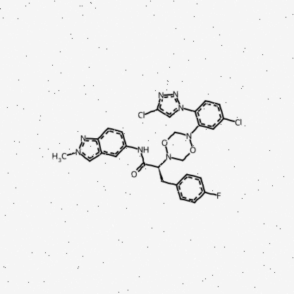 Cn1cc2cc(NC(=O)[C@H](Cc3ccc(F)cc3)N3CON(c4cc(Cl)ccc4-n4cc(Cl)nn4)CO3)ccc2n1